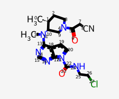 C[C@@H]1CCN(C(=O)CC#N)C[C@@H]1N(C)c1ncnc2c1ccn2C(=O)NCCCl